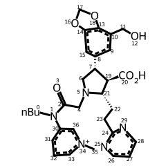 CCCCN(C(=O)CN1C[C@H](c2cc(CO)c3c(c2)OCO3)[C@@H](C(=O)O)[C@@H]1CCc1ncccn1)c1ccc[n+](C)c1